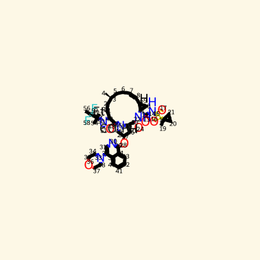 CC[C@@H]1C[C@@H](C)CC/C=C\[C@@H]2C[C@@]2(C(=O)NS(=O)(=O)C2(C)CC2)NC(=O)[C@@H]2C[C@@H](Oc3ncc(N4CCOCC4)c4ccccc34)CN2C(=O)[C@H]1N(C(=O)O)C(C)(C)C(C)(F)F